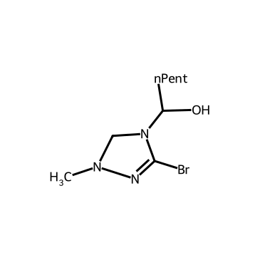 CCCCCC(O)N1CN(C)N=C1Br